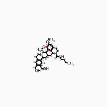 CCCCNC(=O)N1CCc2cc(OC)c(OC)cc2C1CC1CC2c3cc(CO)c(CO)cc3CCN2CC1CC